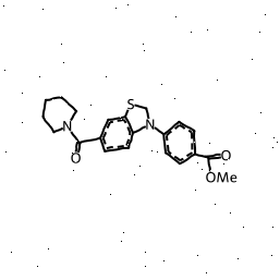 COC(=O)c1ccc(N2CSc3cc(C(=O)N4CCCCC4)ccc32)cc1